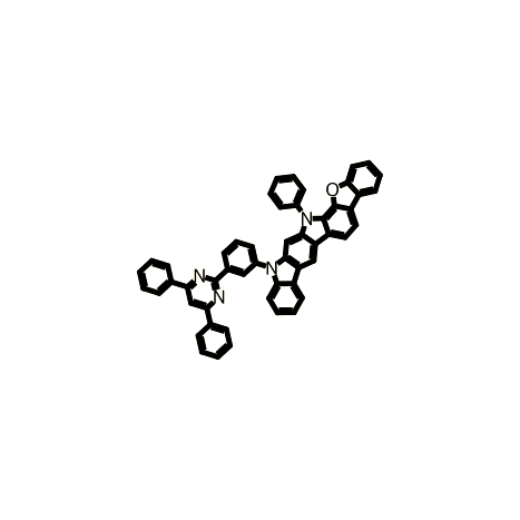 c1ccc(-c2cc(-c3ccccc3)nc(-c3cccc(-n4c5ccccc5c5cc6c7ccc8c9ccccc9oc8c7n(-c7ccccc7)c6cc54)c3)n2)cc1